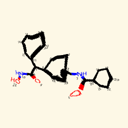 O=C(Nc1ccc(C(C(=O)NO)c2ccccc2)cc1)C1CCCCC1